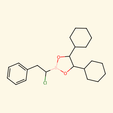 ClC(Cc1ccccc1)B1OC(C2CCCCC2)C(C2CCCCC2)O1